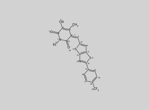 CCN1C(=O)C(C#N)=C(C)/C(=C/c2cc3sc(-c4ccc(C(F)(F)F)cc4)nc3s2)C1=O